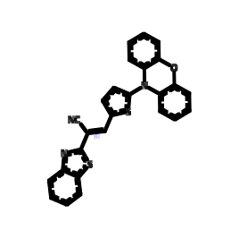 N#C/C(=C\c1ccc(N2c3ccccc3Oc3ccccc32)s1)c1nc2ccccc2s1